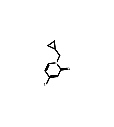 O=c1cc(Br)ccn1CC1CC1